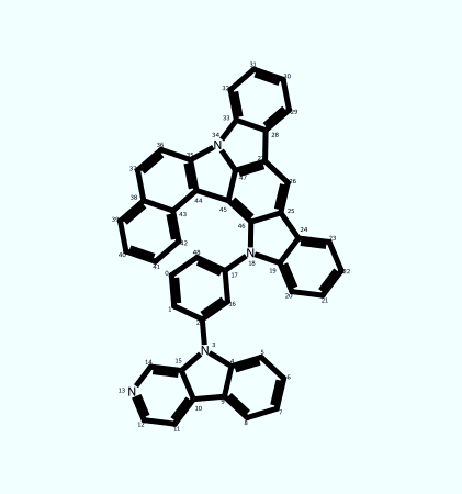 c1cc(-n2c3ccccc3c3ccncc32)cc(-n2c3ccccc3c3cc4c5ccccc5n5c6ccc7ccccc7c6c(c32)c45)c1